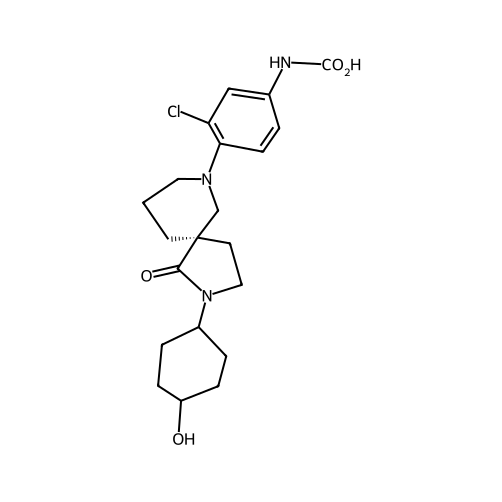 O=C(O)Nc1ccc(N2CCC[C@@]3(CCN(C4CCC(O)CC4)C3=O)C2)c(Cl)c1